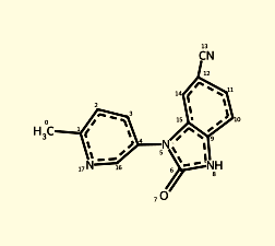 Cc1ccc(-n2c(=O)[nH]c3ccc(C#N)cc32)cn1